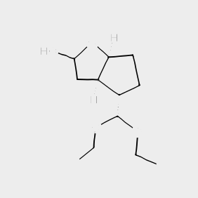 CCOC(OCC)[C@H]1CC[C@@H]2OC(O)C[C@@H]21